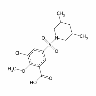 COc1c(Cl)cc(S(=O)(=O)N2CC(C)CC(C)C2)cc1C(=O)O